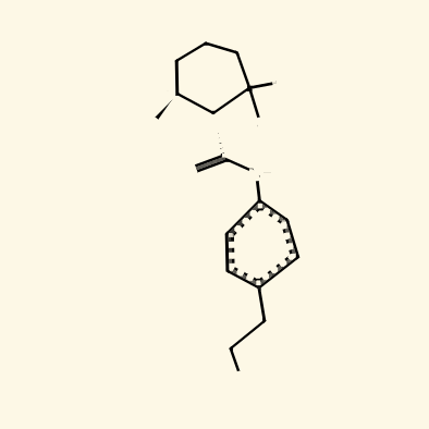 C[C@H]1CCCC(C)(C)[C@@H]1C(=O)Nc1ccc(CCO)cc1